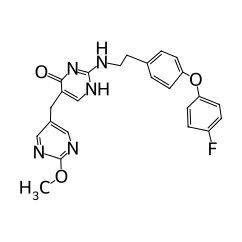 COc1ncc(Cc2c[nH]c(NCCc3ccc(Oc4ccc(F)cc4)cc3)nc2=O)cn1